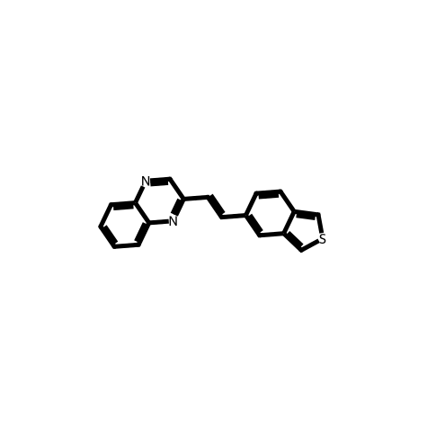 C(=Cc1cnc2ccccc2n1)c1ccc2cscc2c1